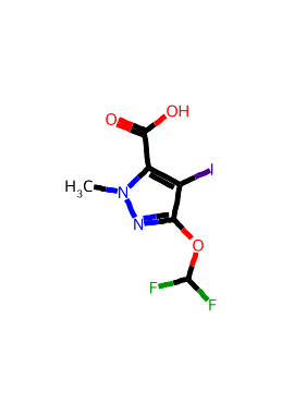 Cn1nc(OC(F)F)c(I)c1C(=O)O